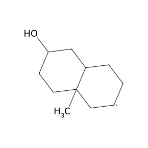 CC12C[CH]CCC1CC(O)CC2